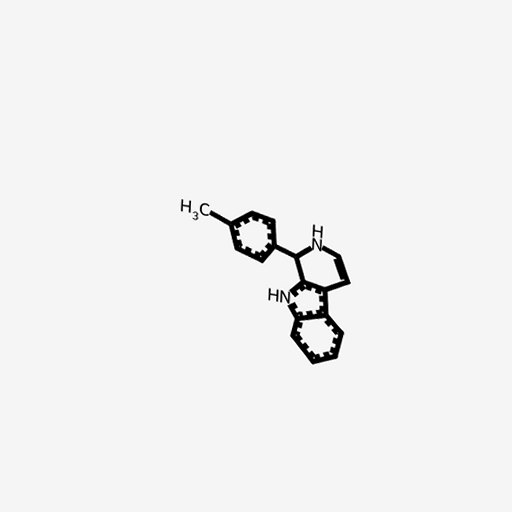 Cc1ccc(C2NC=Cc3c2[nH]c2ccccc32)cc1